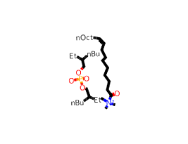 CCCCC(CC)COP(=O)([O-])OCC(CC)CCCC.CCCCCCCC/C=C\CCCCCCCC(=O)[N+](C)(C)C